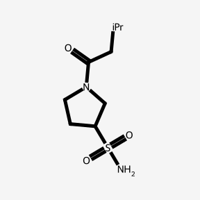 CC(C)CC(=O)N1CCC(S(N)(=O)=O)C1